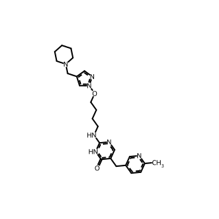 Cc1ccc(Cc2cnc(NCCCCOn3cc(CN4CCCCC4)cn3)[nH]c2=O)cn1